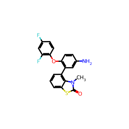 Cn1c(=O)sc2cccc(-c3cc(N)ccc3Oc3ccc(F)cc3F)c21